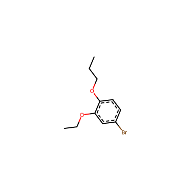 CCCOc1ccc(Br)cc1OCC